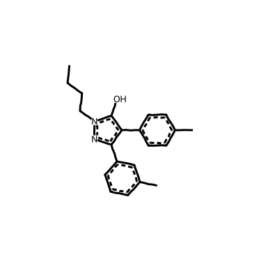 CCCCn1nc(-c2cccc(C)c2)c(-c2ccc(C)cc2)c1O